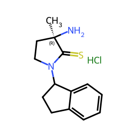 C[C@@]1(N)CCN(C2CCc3ccccc32)C1=S.Cl